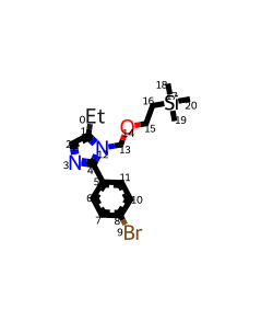 CCc1cnc(-c2ccc(Br)cc2)n1COCC[Si](C)(C)C